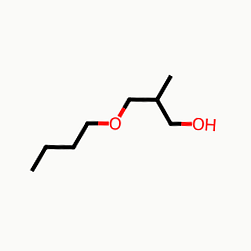 CCCCOCC(C)CO